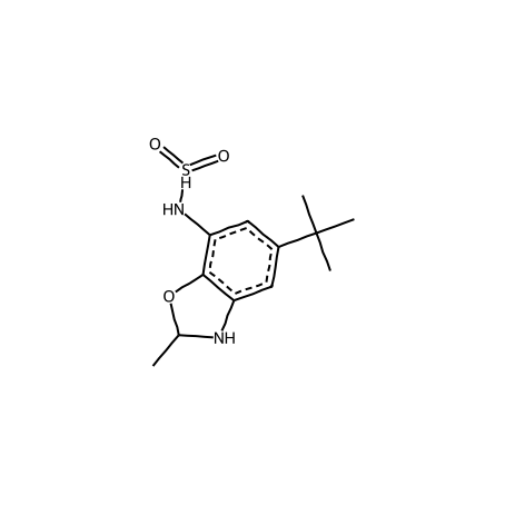 CC1Nc2cc(C(C)(C)C)cc(N[SH](=O)=O)c2O1